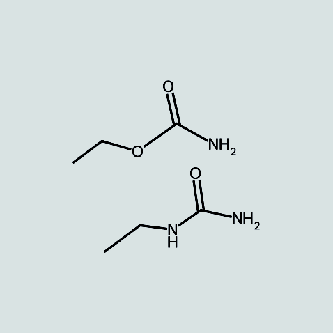 CCNC(N)=O.CCOC(N)=O